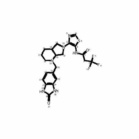 O=C(CC(F)(F)F)Nc1scnc1N1CC2CCCN(Cc3ccc4[nH]c(=O)[nH]c4c3)C2C1